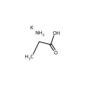 CCC(=O)O.N.[K]